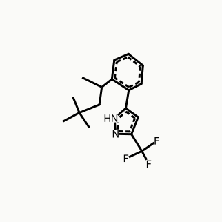 CC(CC(C)(C)C)c1ccccc1-c1cc(C(F)(F)F)n[nH]1